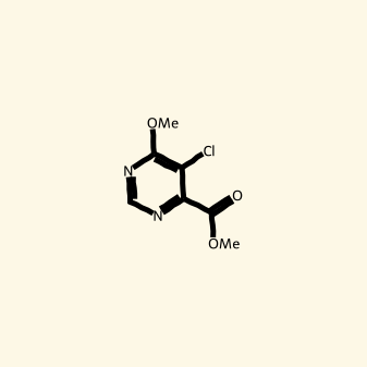 COC(=O)c1ncnc(OC)c1Cl